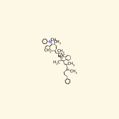 C/C=C\C1=C(/N(C)c2ccccc2)C(C)/C=C\C(=C/C2(C)C=CC(/C(C)=C(/C=C(\C)C3C(C)=C3/C=C\Cc3ccccc3)C3=CCCC=C3C)=C2)CC1